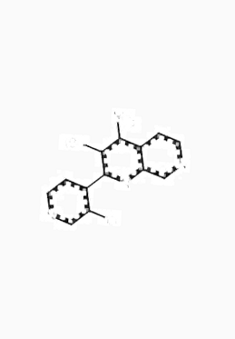 CC(C)(C)c1c(-c2ccncc2Cl)nc2cnccc2c1N